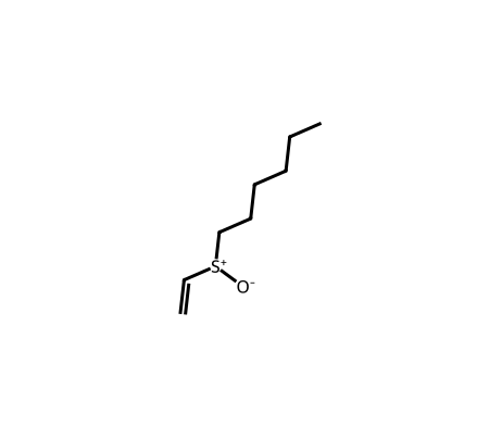 C=C[S+]([O-])CCCCCC